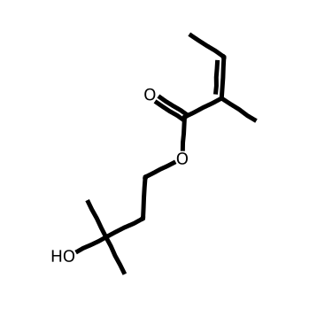 CC=C(C)C(=O)OCCC(C)(C)O